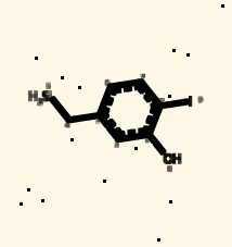 Oc1cc(C[SiH3])ccc1I